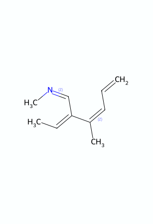 C=C/C=C(/C)C(=CC)/C=N\C